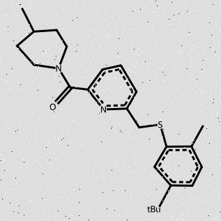 Cc1ccc(C(C)(C)C)cc1SCc1cccc(C(=O)N2CCC(C)CC2)n1